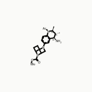 CC(=O)N1c2ccc(N3CC4N(C(=O)OC(C)(C)C)C5CCC543)cc2[C@H](N)[C@@H](C)[C@@H]1C